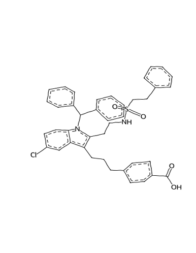 O=C(O)c1ccc(CCCc2c(CCNS(=O)(=O)CCc3ccccc3)n(C(c3ccccc3)c3ccccc3)c3ccc(Cl)cc23)cc1